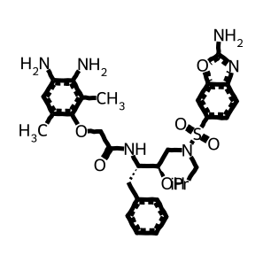 Cc1cc(N)c(N)c(C)c1OCC(=O)N[C@@H](Cc1ccccc1)[C@H](O)CN(CC(C)C)S(=O)(=O)c1ccc2nc(N)oc2c1